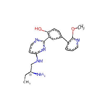 CC[C@H](N)CNc1ccnc(-c2cc(-c3cccnc3OC)ccc2O)n1